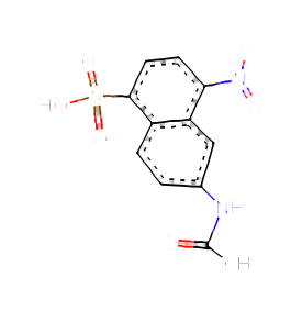 CC(=O)Nc1ccc2c(S(=O)(=O)O)ccc([N+](=O)[O-])c2c1